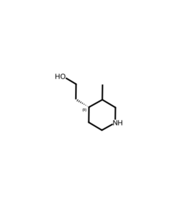 CC1CNCC[C@@H]1CCO